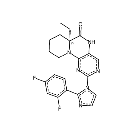 CC[C@@]12CCCCN1c1nc(-n3ccnc3-c3ccc(F)cc3F)ncc1NC2=O